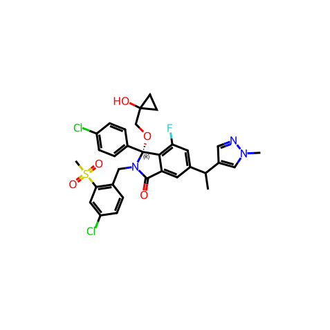 CC(c1cc(F)c2c(c1)C(=O)N(Cc1ccc(Cl)cc1S(C)(=O)=O)[C@@]2(OCC1(O)CC1)c1ccc(Cl)cc1)c1cnn(C)c1